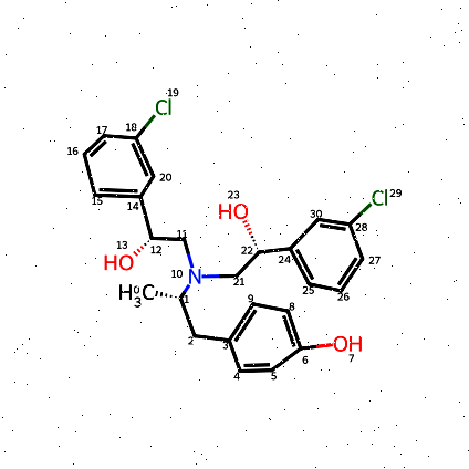 C[C@@H](Cc1ccc(O)cc1)N(C[C@H](O)c1cccc(Cl)c1)C[C@H](O)c1cccc(Cl)c1